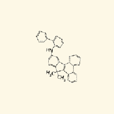 CC1(C)c2ccc(Nc3ccccc3-c3ccccc3)cc2-c2c1c1ccccc1c1ccccc21